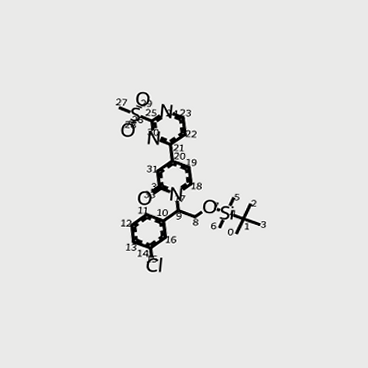 CC(C)(C)[Si](C)(C)OCC(c1cccc(Cl)c1)n1ccc(-c2ccnc(S(C)(=O)=O)n2)cc1=O